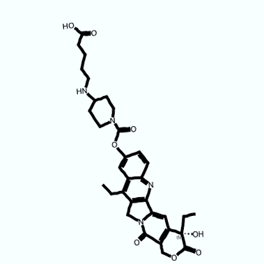 CCc1c2c(nc3ccc(OC(=O)N4CCC(NCCCCC(=O)O)CC4)cc13)-c1cc3c(c(=O)n1C2)COC(=O)[C@]3(O)CC